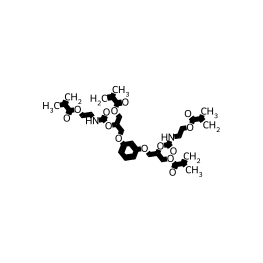 C=C(C)C(=O)OCCNC(=O)OC(COC(=O)C(=C)C)COc1cccc(OCC(COC(=O)C(=C)C)OC(=O)NCCOC(=O)C(=C)C)c1